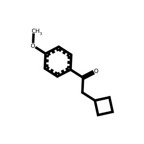 COc1ccc(C(=O)CC2CCC2)cc1